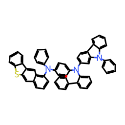 c1ccc(-c2ccccc2N(c2ccc(N(c3ccccc3)c3cccc4cc5sc6ccccc6c5cc34)cc2)c2ccc3c4ccccc4n(-c4ccccc4)c3c2)cc1